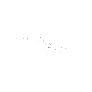 Cc1cc(Cc2nc3c(F)cc(C(=O)O)cc3n2CC2CCO2)c(Cl)cc1-c1cccc(OCc2ccc(C#N)cc2F)n1